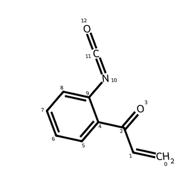 C=CC(=O)c1ccccc1N=C=O